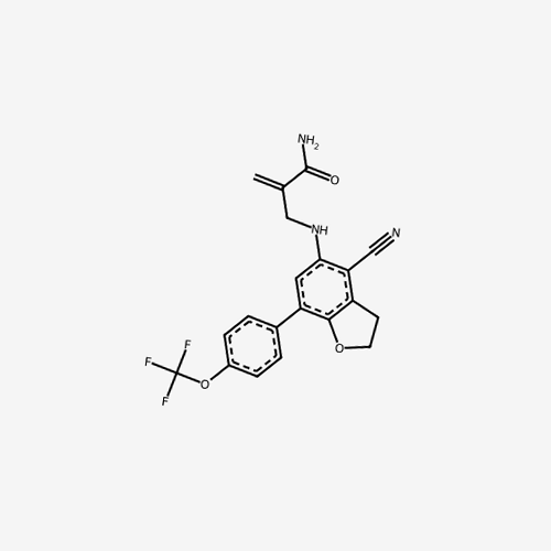 C=C(CNc1cc(-c2ccc(OC(F)(F)F)cc2)c2c(c1C#N)CCO2)C(N)=O